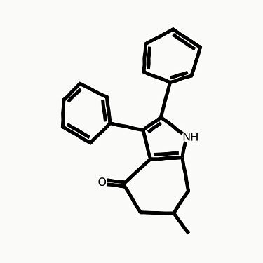 CC1CC(=O)c2c([nH]c(-c3ccccc3)c2-c2ccccc2)C1